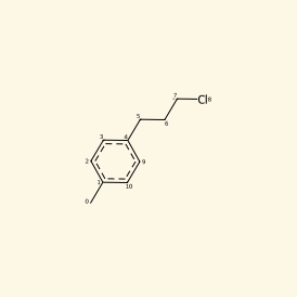 Cc1ccc(CC[CH]Cl)cc1